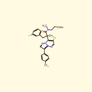 COCCN(C)C(=O)C(C)(Cc1cccc(F)c1)c1c(Cl)cnc2c(-c3ccc(C(F)(F)F)cc3)cnn12